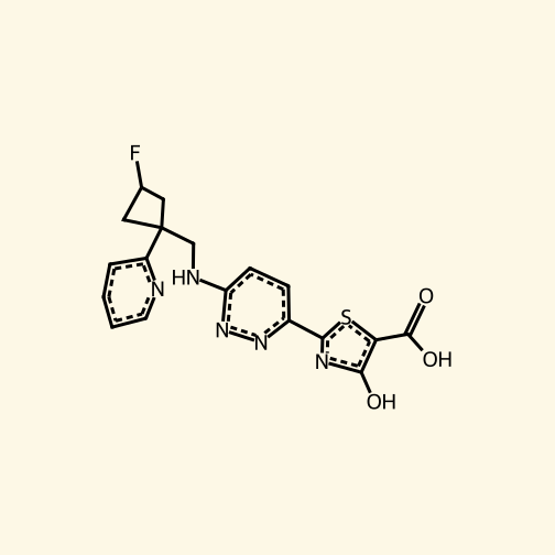 O=C(O)c1sc(-c2ccc(NCC3(c4ccccn4)CC(F)C3)nn2)nc1O